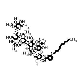 CCCCCCC#CCCCOc1cccc(C(=O)N[C@H]2C(O[C@H]3C(O)C(NC(C)=O)[C@H](OC4C(CO)O[C@@H](O[C@H]5C(O)C(NC(C)=O)[C@H](OC6C(CO[C@@H]7OC(C)C(O)[C@H](O)[C@H]7OC)OC(O)[C@@H](NC(C)=O)[C@H]6O)O[C@H]5CO)[C@@H](NC(C)=O)[C@H]4O)O[C@H]3CO)OC(CO)[C@@H](O)[C@@H]2O)c1